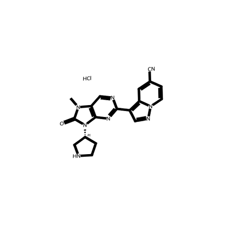 Cl.Cn1c(=O)n([C@@H]2CCNC2)c2nc(-c3cnn4ccc(C#N)cc34)ncc21